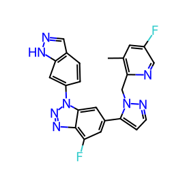 Cc1cc(F)cnc1Cn1nccc1-c1cc(F)c2nnn(-c3ccc4cn[nH]c4c3)c2c1